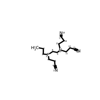 CCCP(CCC#N)CCN(CCC#N)CCC#N